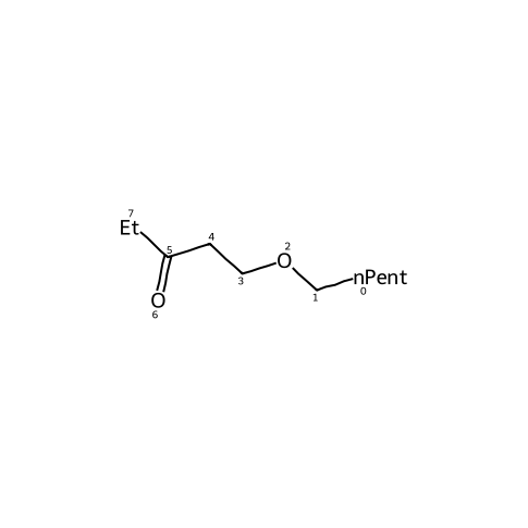 CCCCCCOCCC(=O)CC